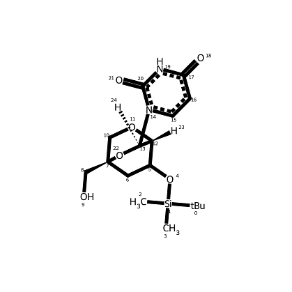 CC(C)(C)[Si](C)(C)OC1C[C@]2(CO)CO[C@H]1[C@H](n1ccc(=O)[nH]c1=O)O2